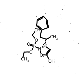 CCOP(=O)(OCC)[n+]1oc(O)c[n+]1C(C)Cc1ccccc1